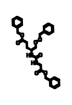 O=C(NCC(=O)OCc1ccccc1)N[C@@H](CCC(=O)OCc1ccccc1)COOCc1ccccc1